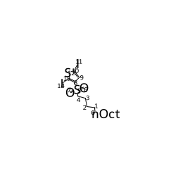 CCCCCCCCCCCCS(=O)(=O)c1cc(I)sc1I